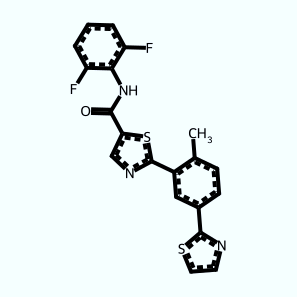 Cc1ccc(-c2nccs2)cc1-c1ncc(C(=O)Nc2c(F)cccc2F)s1